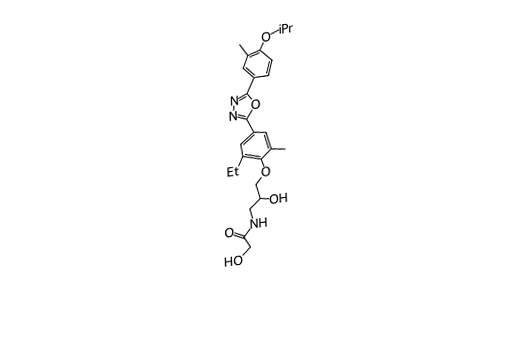 CCc1cc(-c2nnc(-c3ccc(OC(C)C)c(C)c3)o2)cc(C)c1OCC(O)CNC(=O)CO